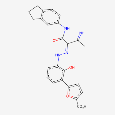 CC(=N)/C(=N/Nc1cccc(-c2ccc(C(=O)O)o2)c1O)C(=O)Nc1ccc2c(c1)CCC2